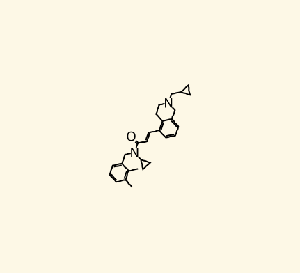 Cc1cccc(CN(C(=O)/C=C/c2cccc3c2CCN(CC2CC2)C3)C2CC2)c1C